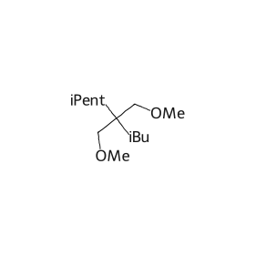 CCCC(C)C(COC)(COC)C(C)CC